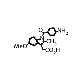 COc1ccc2c(c1)c(CC(=O)O)c(C)n2C(=O)c1ccc(N)cc1